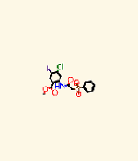 COC(=O)c1cc(I)c(Cl)cc1NC(=O)CS(=O)(=O)c1ccccc1